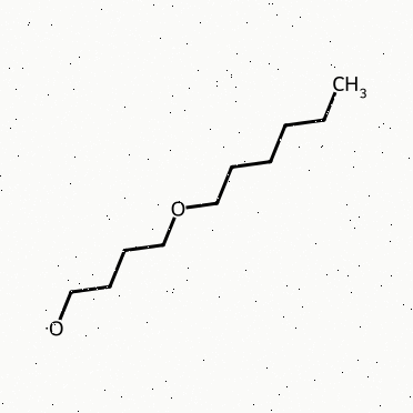 CCCCCCOCCCC[O]